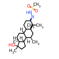 CC1=C2C[C@@H](C)[C@@H]3[C@H](CC[C@@]4(C)[C@H]3CC[C@]4(C)O)[C@@]2(C)CC/C1=N\NS(C)(=O)=O